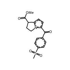 COC(=O)C1CCn2c(C(=O)c3ccc(S(C)(=O)=O)cc3)ccc21